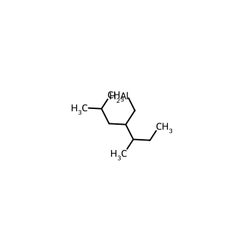 CCC(C)C([CH2][AlH2])CC(C)C